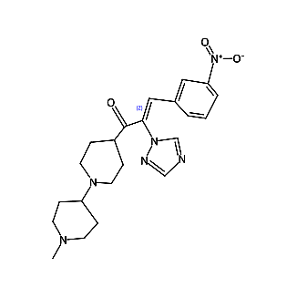 CN1CCC(N2CCC(C(=O)/C(=C/c3cccc([N+](=O)[O-])c3)n3cncn3)CC2)CC1